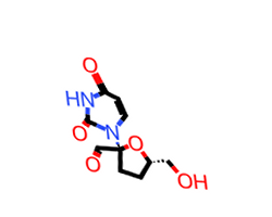 O=C[C@]1(n2ccc(=O)[nH]c2=O)CC[C@@H](CO)O1